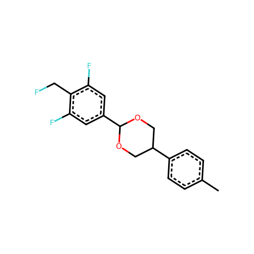 Cc1ccc(C2COC(c3cc(F)c(CF)c(F)c3)OC2)cc1